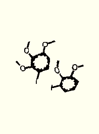 COc1ccc(I)c(OC)c1OC.COc1cccc(I)c1OC